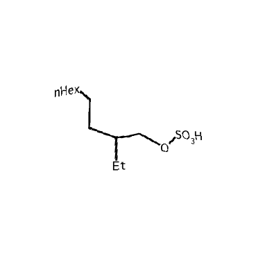 CCCCCCCCC(CC)COS(=O)(=O)O